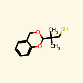 CC(C)(CS)C1OCc2ccccc2O1